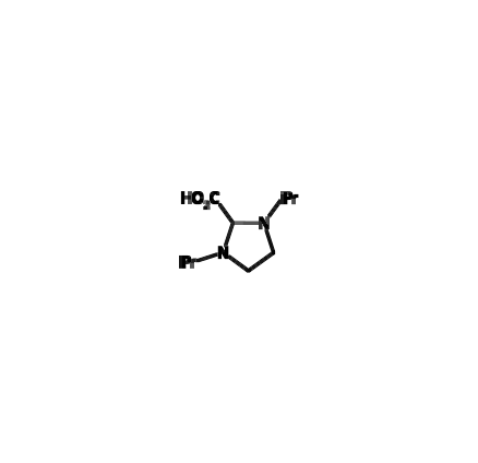 CC(C)N1CCN(C(C)C)C1C(=O)O